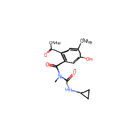 COC(=O)c1cc(OC)c(O)cc1C(=O)N(C)C(=O)NC1CC1